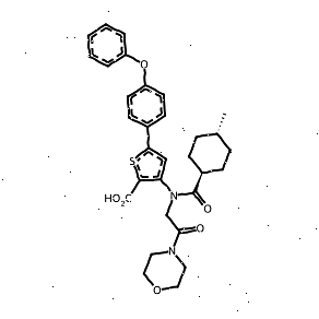 C[C@H]1CC[C@H](C(=O)N(CC(=O)N2CCOCC2)c2cc(-c3ccc(Oc4ccccc4)cc3)sc2C(=O)O)CC1